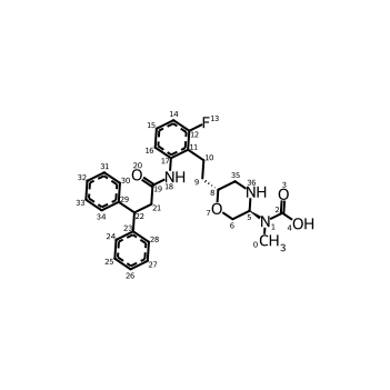 CN(C(=O)O)[C@H]1CO[C@H](CCc2c(F)cccc2NC(=O)CC(c2ccccc2)c2ccccc2)CN1